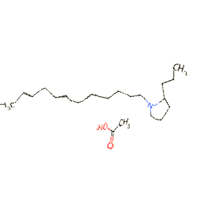 CC(=O)O.CCCCCCCCCCCCN1CCCC1CCC